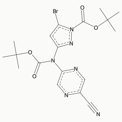 CC(C)(C)OC(=O)N(c1cnc(C#N)cn1)c1cc(Br)n(C(=O)OC(C)(C)C)n1